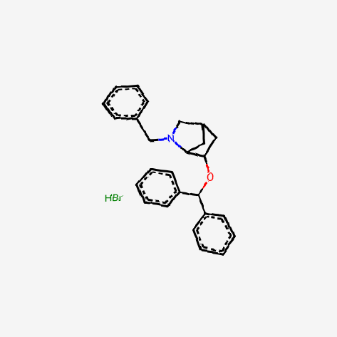 Br.c1ccc(CN2CC3CC(OC(c4ccccc4)c4ccccc4)C2C3)cc1